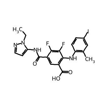 CCn1nccc1NC(=O)c1cc(C(=O)O)c(Nc2ccc(I)cc2C)c(F)c1F